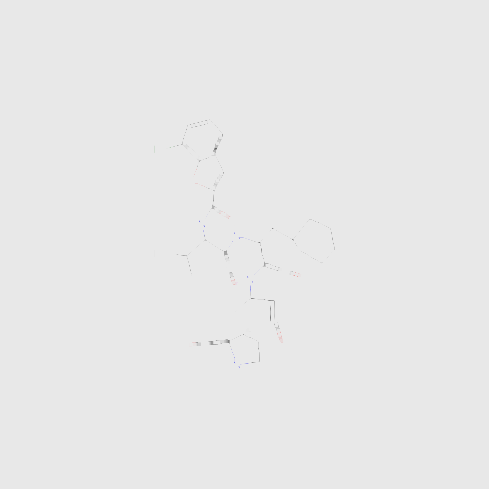 CC(C)C(NC(=O)c1cc2cccc(Br)c2o1)C(=C=O)NC(CC1CCCCC1)C(=C=O)NC(C=C=O)C[C@@H]1CCNC1=C=O